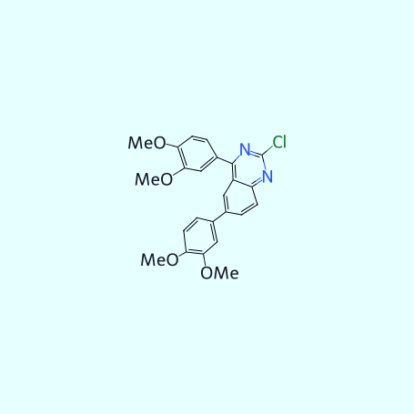 COc1ccc(-c2ccc3nc(Cl)nc(-c4ccc(OC)c(OC)c4)c3c2)cc1OC